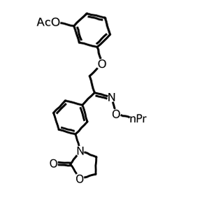 CCCON=C(COc1cccc(OC(C)=O)c1)c1cccc(N2CCOC2=O)c1